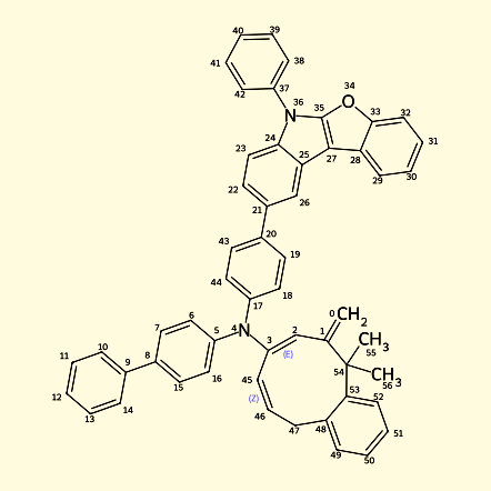 C=C1/C=C(N(c2ccc(-c3ccccc3)cc2)c2ccc(-c3ccc4c(c3)c3c5ccccc5oc3n4-c3ccccc3)cc2)\C=C/Cc2ccccc2C1(C)C